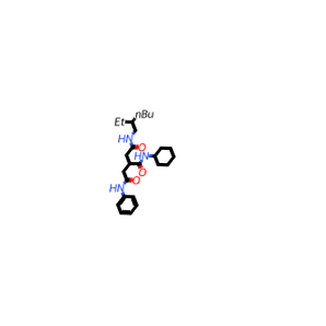 CCCCC(CC)CNC(=O)CC(CC(=O)Nc1ccccc1)C(=O)NC1CCCCC1